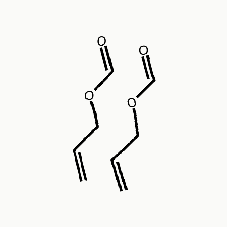 C=CCOC=O.C=CCOC=O